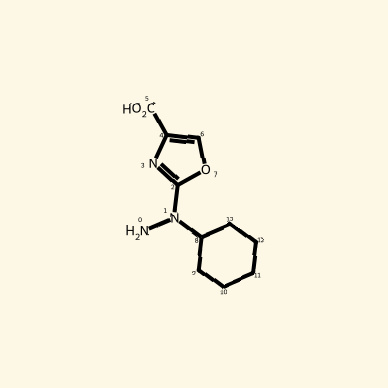 NN(c1nc(C(=O)O)co1)C1CCCCC1